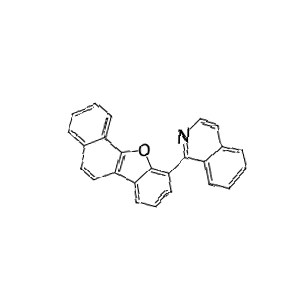 c1ccc2c(-c3cccc4c3oc3c5ccccc5ccc43)nccc2c1